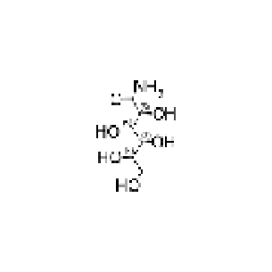 NC(=O)[C@@H](O)[C@@H](O)[C@@H](O)[C@H](O)CO